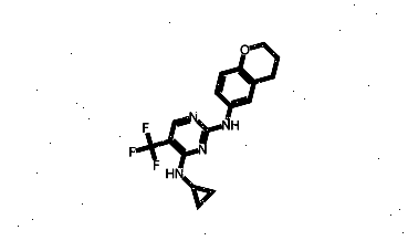 FC(F)(F)c1cnc(Nc2ccc3c(c2)CCCO3)nc1NC1CC1